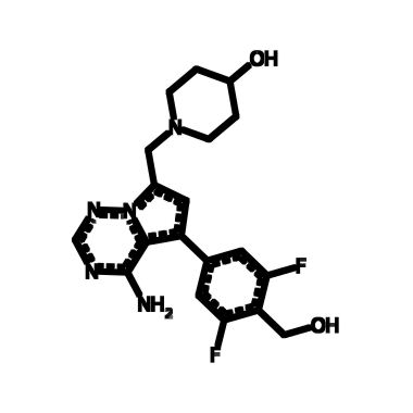 Nc1ncnn2c(CN3CCC(O)CC3)cc(-c3cc(F)c(CO)c(F)c3)c12